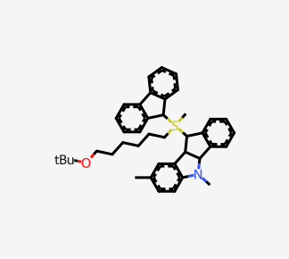 Cc1ccc2c(c1)C1C(c3ccccc3C1S(C)(CCCCCCOC(C)(C)C)C1c3ccccc3-c3ccccc31)N2C